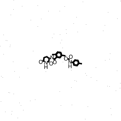 Cc1ccc(NC(=O)OCc2ccc3c(c2)C(=O)N(C2CCC(=O)NC2=O)C3)cc1